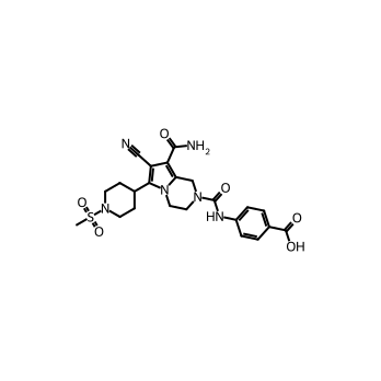 CS(=O)(=O)N1CCC(c2c(C#N)c(C(N)=O)c3n2CCN(C(=O)Nc2ccc(C(=O)O)cc2)C3)CC1